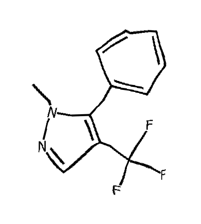 Cn1ncc(C(F)(F)F)c1-c1ccccc1